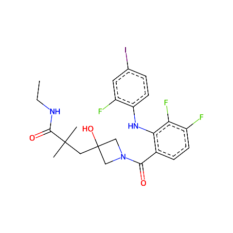 CCNC(=O)C(C)(C)CC1(O)CN(C(=O)c2ccc(F)c(F)c2Nc2ccc(I)cc2F)C1